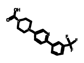 O=C(O)N1CCN(c2ccc(-c3cccc(C(F)(F)F)c3)nc2)CC1